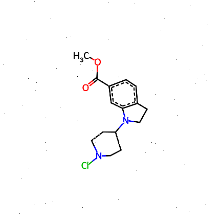 COC(=O)c1ccc2c(c1)N(C1CCN(Cl)CC1)CC2